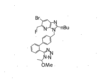 CCCCc1nc2cc(Br)c(CF)nc2n1Cc1ccc(-c2ccccc2-c2nnnn2C(C)OC)cc1